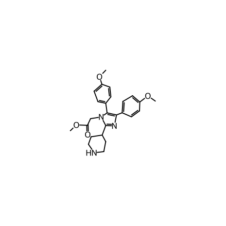 COC(=O)Cn1c(C2CCNCC2)nc(-c2ccc(OC)cc2)c1-c1ccc(OC)cc1